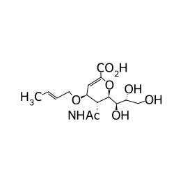 CC=CCO[C@H]1C=C(C(=O)O)O[C@@H]([C@H](O)[C@H](O)CO)[C@@H]1NC(C)=O